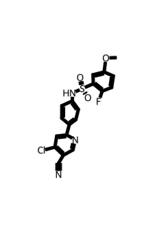 COc1ccc(F)c(S(=O)(=O)Nc2ccc(-c3cc(Cl)c(C#N)cn3)cc2)c1